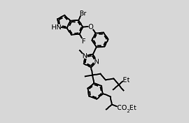 CCOC(=O)C(C)Cc1cccc(C(C)(CCCC(C)(C)CC)c2cn(C)c(-c3cccc(Oc4c(F)cc5[nH]ccc5c4Br)c3)n2)c1